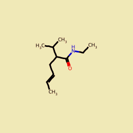 C/C=C/CC(C(=O)NCC)C(C)C